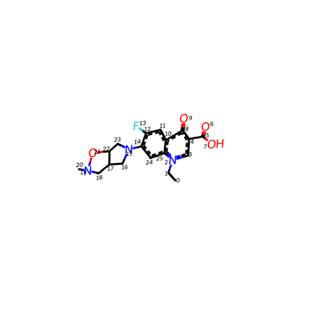 CCn1cc(C(=O)O)c(=O)c2cc(F)c(N3CC4CN(C)OC4C3)cc21